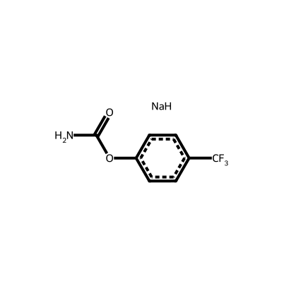 NC(=O)Oc1ccc(C(F)(F)F)cc1.[NaH]